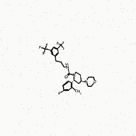 Cc1cc(F)ccc1[C@H]1C[C@H](N2CCOCC2)CCN1C(=O)NCCCc1cc(C(F)(F)F)cc(C(F)(F)F)c1